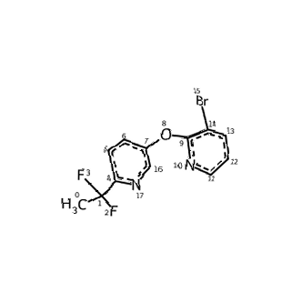 CC(F)(F)c1ccc(Oc2ncccc2Br)cn1